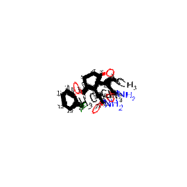 Cc1oc2ccc(COc3ccccc3F)c(C(C)(C)C(N)=O)c2c1C(N)=O